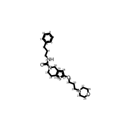 O=C(NCCCc1ccccc1)N1CCc2sc(OCCCN3CCOCC3)cc2C1